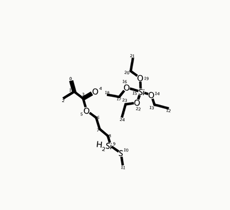 C=C(C)C(=O)OCCC[SiH2]SC.CCO[Si](OCC)(OCC)OCC